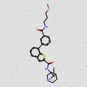 COCCCNC(=O)c1cccc(-c2cccc3cc(C(=O)N[C@H]4CN5CCC4CC5)sc23)c1